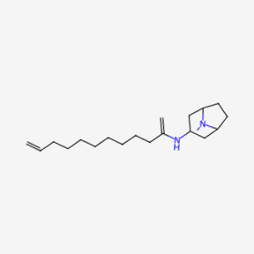 C=CCCCCCCCCC(=C)NC1CC2CCC(C1)N2C